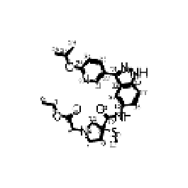 CCOC(=O)CN1CC[C@@](SC)(C(=O)Nc2ccc3[nH]nc(-c4ccc(OC(C)C)nc4)c3c2)C1